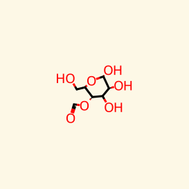 O=CO[C@@H]1C(CO)O[C@H](O)[C@@H](O)C1O